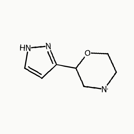 c1cc(C2C[N]CCO2)n[nH]1